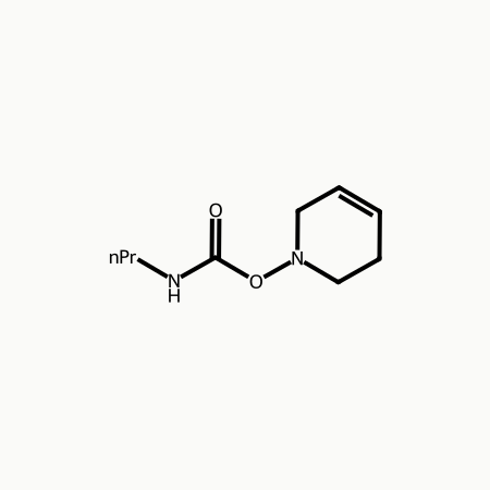 CCCNC(=O)ON1CC=CCC1